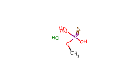 COP(O)(O)=S.Cl